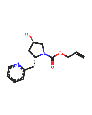 C=CCOC(=O)N1C[C@H](O)C[C@H]1Cc1ccccn1